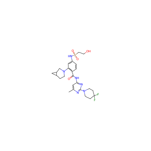 Cc1cc(NC(=O)c2ccc(NS(=O)(=O)CCO)cc2N2CCC3CC3C2)nc(N2CCC(F)(F)CC2)n1